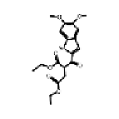 CCOC(=O)CC(C(=O)OCC)C(=O)c1cc2cc(OC)c(OC)cc2[se]1